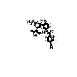 Cc1noc(C)c1[C@@H]1C[C@@](C)(c2cc(NC(=O)c3ccc(C#N)cn3)ccc2F)SC(N)=N1